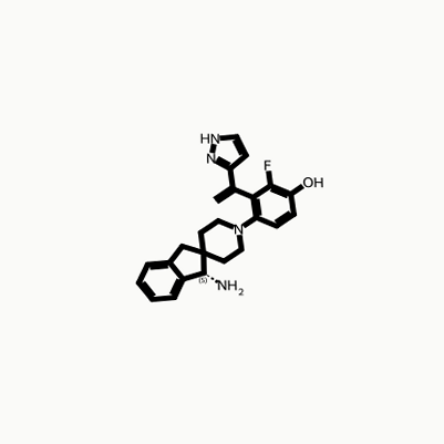 C=C(c1cc[nH]n1)c1c(N2CCC3(CC2)Cc2ccccc2[C@H]3N)ccc(O)c1F